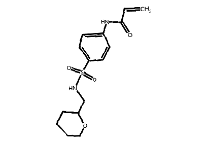 C=CC(=O)Nc1ccc(S(=O)(=O)NCC2CCCCO2)cc1